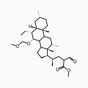 CC[C@H]1[C@@H](OCOC)C2C3CC[C@H]([C@H](C)CC(C=O)C(=O)OC)[C@@]3(C)[C@@H](C)CC2[C@@]2(C)CC[C@@H](C)C[C@@H]12